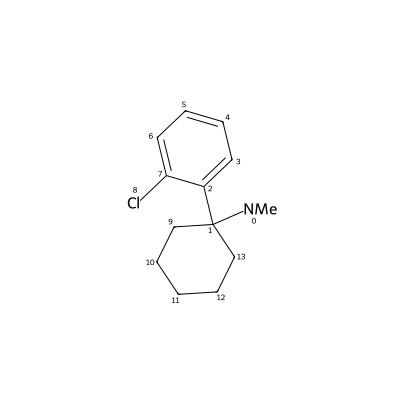 CNC1(c2ccccc2Cl)CCCCC1